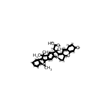 Cn1c2c(c3ccccc31)C(C)(C)c1cc3c(cc1-2)N1CCC2OC4=CC(=O)C=CC4=CC2=C1C3(C)CC(=O)O